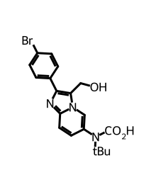 CC(C)(C)N(C(=O)O)c1ccc2nc(-c3ccc(Br)cc3)c(CO)n2c1